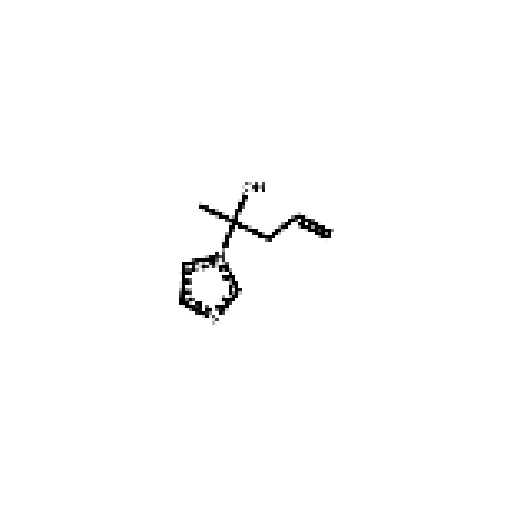 C=CCC(C)(O)n1ccnc1